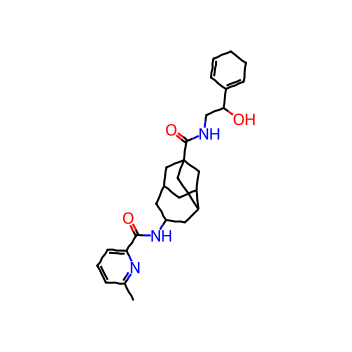 Cc1cccc(C(=O)NC2CC3CC4CC(C(=O)NCC(O)C5=CCCC=C5)(C3)CC4C2)n1